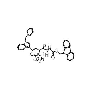 O=C(NNC(=O)C(CCc1cn(Cc2ccccc2)c2ccccc12)NC(=O)C(=O)O)OCC1c2ccccc2-c2ccccc21